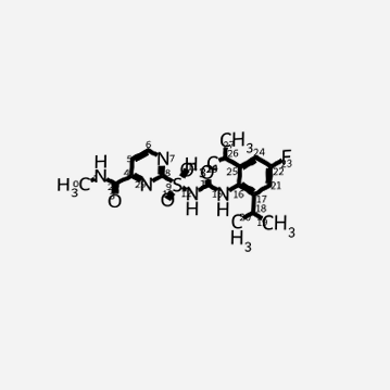 CNC(=O)c1ccnc(S(=O)(=O)NC(=O)Nc2c(C(C)C)cc(F)cc2C(C)C)n1